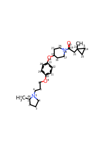 C[C@@H]1CCCN1CCCOc1ccc(OC2CCN(C(=O)CC3(C)CC3)CC2)cc1